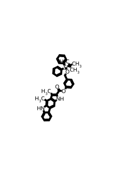 Cc1c(C(=O)Oc2cccc(CO[Si](c3ccccc3)(c3ccccc3)C(C)(C)C)c2)[nH]c2cc3c([nH]c4ccccc43)c(C)c12